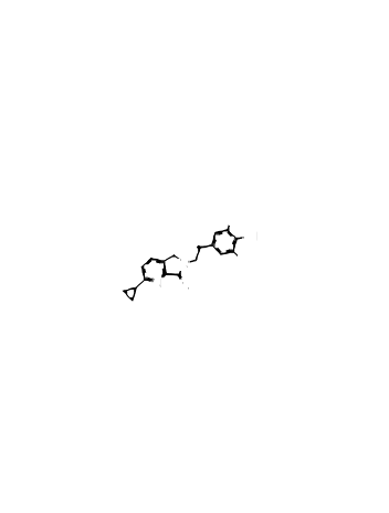 CC(C)(C)c1cc(C(=O)CN2Cc3ccc(C4CC4)nc3C2=N)cc(C(C)(C)C)c1O